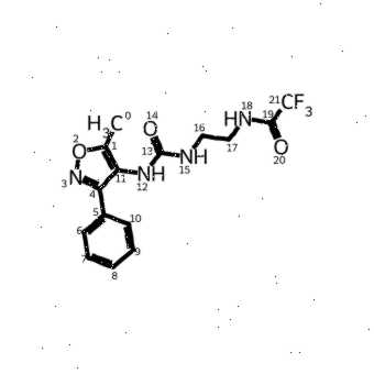 Cc1onc(-c2ccccc2)c1NC(=O)NCCNC(=O)C(F)(F)F